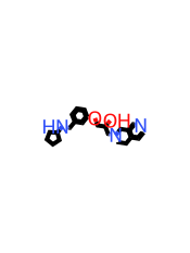 OC(COc1cccc(CNC2CCCC2)c1)CN1CCc2ccncc2C1